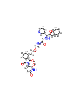 O=C(CNC(c1cccnc1)c1cc2ccccc2o1)NCCOCCc1cccc2c1C(=O)N(C1CCC(=O)NC1=O)C2=O